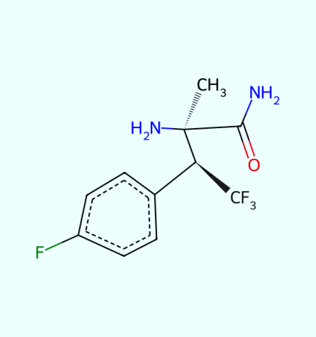 C[C@](N)(C(N)=O)[C@H](c1ccc(F)cc1)C(F)(F)F